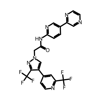 O=C(Cn1cc(-c2ccnc(C(F)(F)F)c2)c(C(F)(F)F)n1)Nc1ccc(-c2cnccn2)cn1